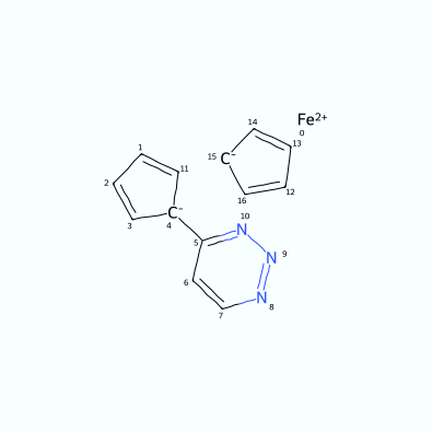 [Fe+2].c1cc[c-](-c2ccnnn2)c1.c1cc[cH-]c1